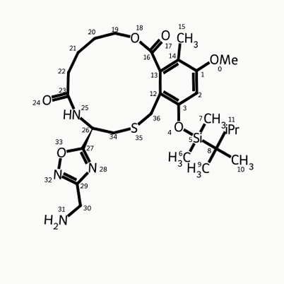 COc1cc(O[Si](C)(C)C(C)(C)C(C)C)c2c(c1C)C(=O)OCCCCC(=O)N[C@H](c1nc(CN)no1)CSC2